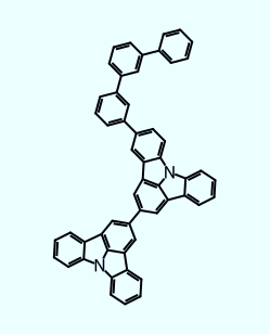 c1ccc(-c2cccc(-c3cccc(-c4ccc5c(c4)c4cc(-c6cc7c8ccccc8n8c9ccccc9c(c6)c78)cc6c7ccccc7n5c64)c3)c2)cc1